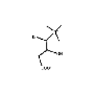 C[N+](C)(C)C(Br)C(O)CC(=O)[O-]